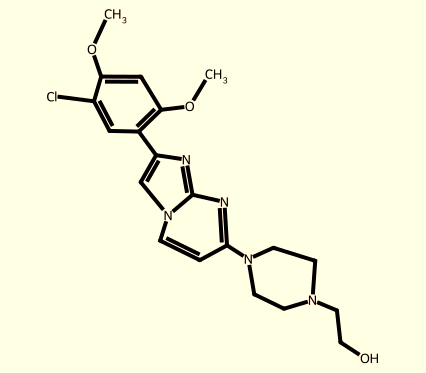 COc1cc(OC)c(-c2cn3ccc(N4CCN(CCO)CC4)nc3n2)cc1Cl